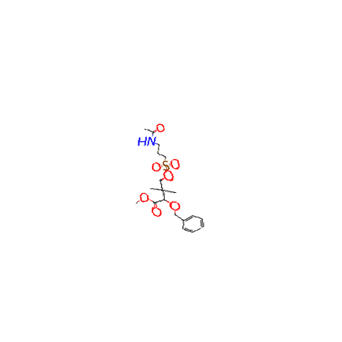 COC(=O)[C@H](OCc1ccccc1)C(C)(C)COS(=O)(=O)CCCNC(C)=O